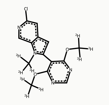 [2H]C([2H])([2H])Oc1ncnc(OC([2H])([2H])[2H])c1-c1cc2cc(Cl)ncc2n1C([2H])([2H])[2H]